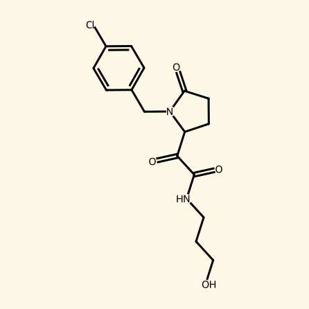 O=C(NCCCO)C(=O)C1CCC(=O)N1Cc1ccc(Cl)cc1